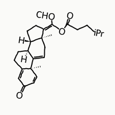 CC(C)CCC(=O)OC(C=O)=C1CC[C@H]2[C@@H]3CCC4=CC(=O)C=C[C@]4(C)C3=CC[C@]12C